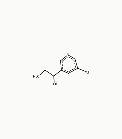 CCC(O)c1cncc(Cl)c1